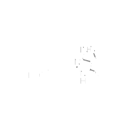 CCCCCc1nc2[nH]ncc2c(=O)[nH]1